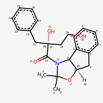 CC1(C)O[C@@H]2Cc3ccccc3C2N1C(=O)[C@](O)(CCO)Cc1ccccc1